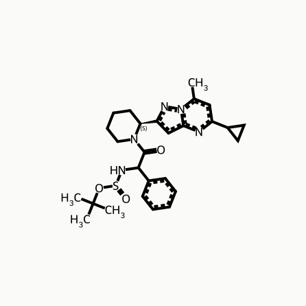 Cc1cc(C2CC2)nc2cc([C@@H]3CCCCN3C(=O)C(NS(=O)OC(C)(C)C)c3ccccc3)nn12